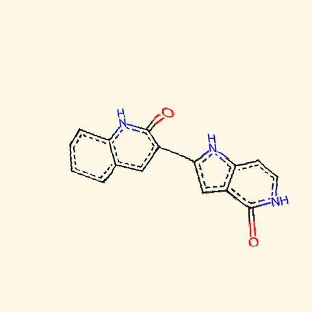 O=c1[nH]c2ccccc2cc1-c1cc2c(=O)[nH]ccc2[nH]1